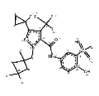 CC1(Cn2nc(C3(F)CC3)c(C(F)(F)F)c2C(=O)Nc2cc[n+](O)c(S(C)(=N)=O)c2)CC(F)(F)C1